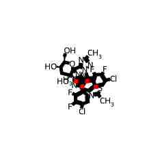 Cc1nc(C2(n3cc(-c4ccc(Cl)c(F)c4F)cn3)O[C@H](CO)[C@H](O)C[C@]2(O)n2cc(-c3ccc(Cl)c(F)c3F)cn2)n(-c2cc3sc(C)nc3cc2C)n1